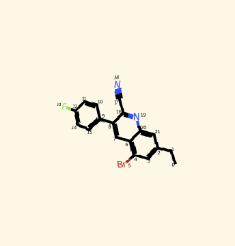 CCc1cc(Br)c2cc(-c3ccc(F)cc3)c(C#N)nc2c1